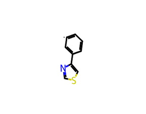 [c]1cccc(-c2cscn2)c1